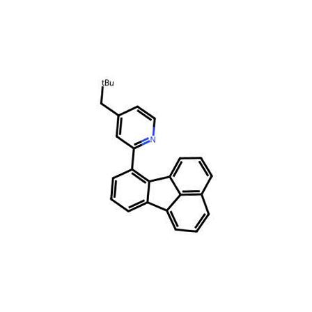 CC(C)(C)Cc1ccnc(-c2cccc3c2-c2cccc4cccc-3c24)c1